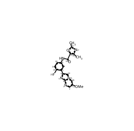 COc1cnc2nc(-c3cc(NC(=O)c4oc(C)nc4C)ccc3F)cn2c1